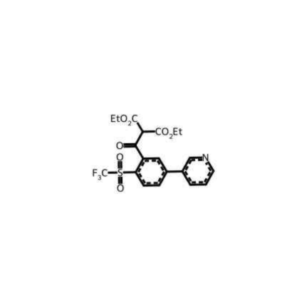 CCOC(=O)C(C(=O)OCC)C(=O)c1cc(-c2cccnc2)ccc1S(=O)(=O)C(F)(F)F